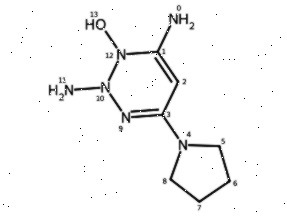 NC1=CC(N2CCCC2)=NN(N)N1O